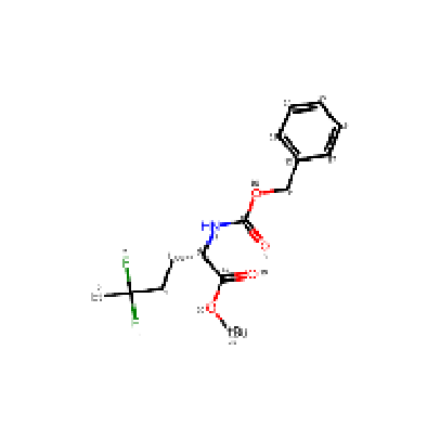 CCC(F)(F)CC[C@H](NC(=O)OCc1ccccc1)C(=O)OC(C)(C)C